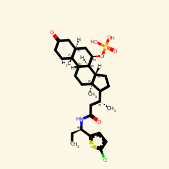 CC[C@@H](NC(=O)C[C@@H](C)C1CC[C@H]2[C@@H]3[C@H](OP(=O)(O)O)C[C@@H]4CC(=O)CC[C@]4(C)[C@H]3CC[C@]12C)c1ccc(Cl)s1